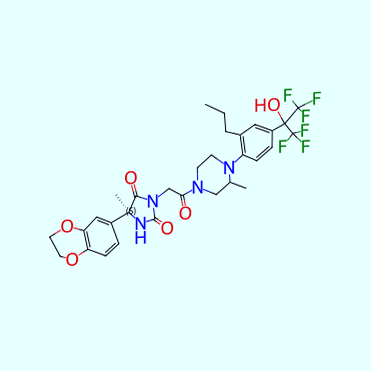 CCCc1cc(C(O)(C(F)(F)F)C(F)(F)F)ccc1N1CCN(C(=O)CN2C(=O)N[C@@](C)(c3ccc4c(c3)OCCO4)C2=O)CC1C